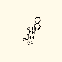 C[C@H](NC(=O)O)C(=O)Nc1ccc2ccccc2c1